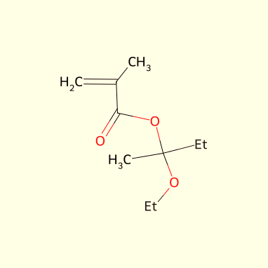 C=C(C)C(=O)OC(C)(CC)OCC